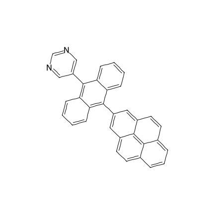 c1cc2ccc3cc(-c4c5ccccc5c(-c5cncnc5)c5ccccc45)cc4ccc(c1)c2c34